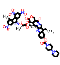 CCc1c2c(nc3ccc(OC(=O)N4CCC(N5CCCCC5)CC4)cc13)-c1cc3c(c(=O)n1C2)COC(=O)[C@@]3(CC)OC(=O)[C@@H](C)O/N=C1/c2cc([N+](=O)[O-])cc(C)c2-c2c1cc([N+](=O)[O-])cc2[N+](=O)[O-]